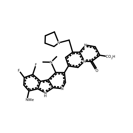 CNc1cc(F)c(F)c2c1[nH]c1ncc(-c3cc(CN4CCCC4)c4ncc(C(=O)O)c(=O)n4c3)c(N(C)C)c12